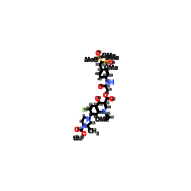 COc1c(N2CCN(C(=O)OC(C)(C)C)C(C)C2)c(F)cc2c(=O)c(C(=O)OCC(=O)Nc3ccc(CC(P(=O)(OC)OC)P(=O)(OC)OC)cc3)cn(C3CC3)c12